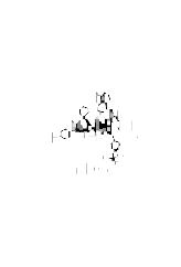 CCCCCCCCCCCC(=O)Oc1ccc(C[C@@H](C=O)N(C(=O)CN(Cc2cc(-c3ccc(F)cc3)no2)NCc2ccccc2)C(N)CN(C)Cc2cccc3ncccc23)cc1